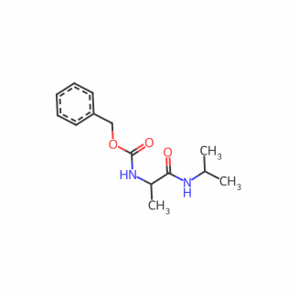 CC(C)NC(=O)C(C)NC(=O)OCc1ccccc1